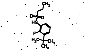 CCCS(=O)(=O)Nc1cccc(C(C)(C)C)c1F